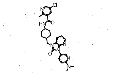 Cc1ncc(Cl)cc1C(=O)NC1CCC(Cn2c(=O)n(-c3ccc(N(C)C)nc3)c3ncccc32)CC1